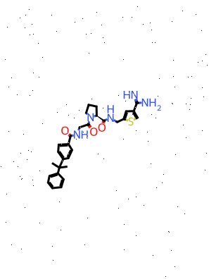 CC(C)(c1ccccc1)c1ccc(C(=O)NCC(=O)N2CCC[C@H]2C(=O)NCc2cc(C(=N)N)cs2)cc1